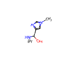 CC(C)NC(O)c1cn(C)cn1